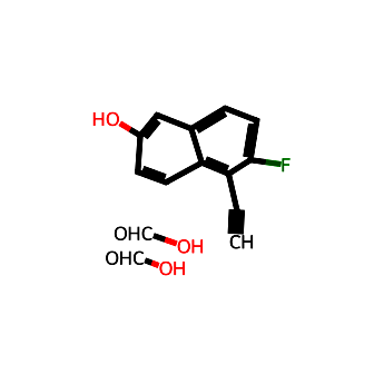 C#Cc1c(F)ccc2cc(O)ccc12.O=CO.O=CO